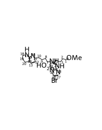 COCCCC[C@](NCCCCc1ccc2c(n1)NCCC2)(Nc1ncc(Br)cn1)C(=O)O